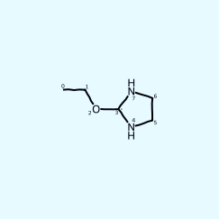 CCO[C]1NCCN1